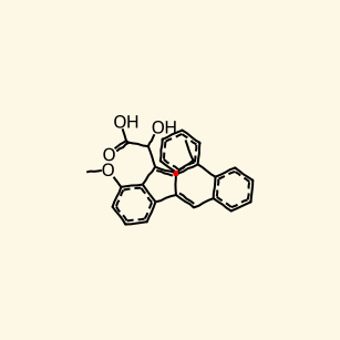 CCC1=C(C(O)C(=O)O)c2c(OC)cccc2C1=Cc1ccccc1-c1ccccc1